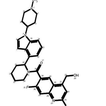 CN1CCC(n2ccc3c(C4CCCCN4C(=O)c4cc5c(CO)cc(N)nc5cc4F)cccc32)CC1